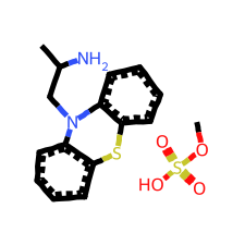 CC(N)CN1c2ccccc2Sc2ccccc21.COS(=O)(=O)O